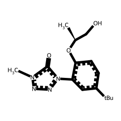 C[C@@H](CO)Oc1ccc(C(C)(C)C)cc1-n1nnn(C)c1=O